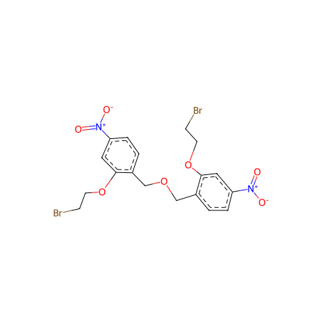 O=[N+]([O-])c1ccc(COCc2ccc([N+](=O)[O-])cc2OCCBr)c(OCCBr)c1